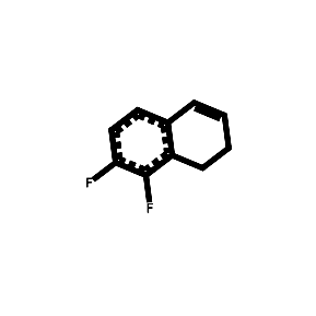 Fc1ccc2c(c1F)CCC=C2